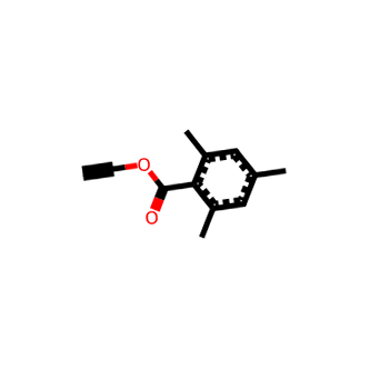 C#COC(=O)c1c(C)cc(C)cc1C